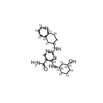 NC(=O)c1cnc(NC2CCc3ncccc3C2)nc1N[C@@H]1CCC[C@H](O)C1